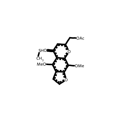 COc1c2occc2c(OC)c2c(=O)cc(COC(C)=O)oc12.CS